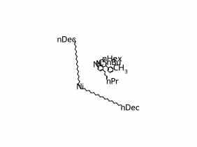 CCCC=CCCc1ccccc1C(=C(CCCC)C(=C=[N+]=[N-])CCCCCC)c1cccc(C)c1.CCCCCCCCCCCCCCCCCCCCCCCCCCC[CH2][Ni][CH2]CCCCCCCCCCCCCCCCCCCCCCCCCCC